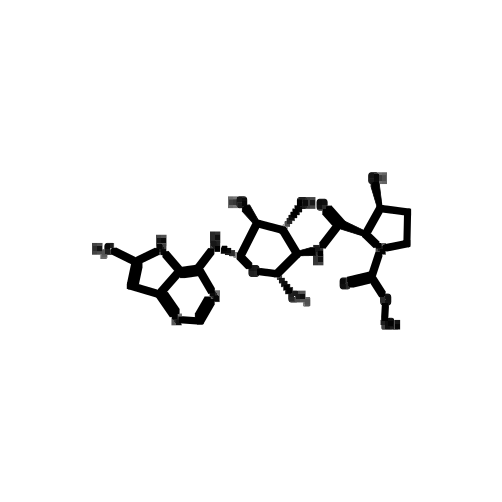 Cc1cc2ncnc(N[C@H]3O[C@@H](C)[C@H](NC(=O)[C@H]4[C@@H](O)CCN4C(=O)OC(C)(C)C)[C@@H](O)[C@@H]3O)c2[nH]1